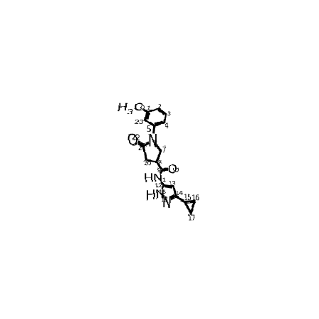 Cc1cccc(N2CC(C(=O)Nc3cc(C4CC4)n[nH]3)CC2=O)c1